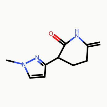 C=C1CCC(c2ccn(C)n2)C(=O)N1